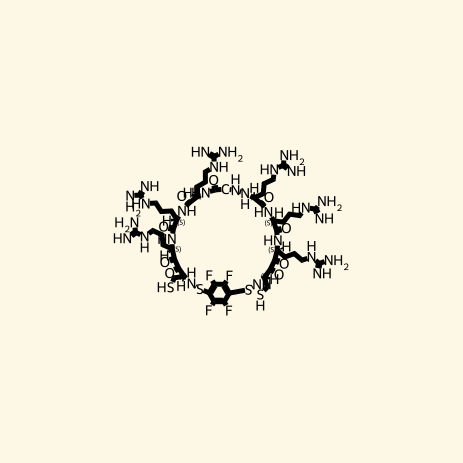 N=C(N)NCCC[C@@H]1NNCC(=O)N[C@@H](CCCNC(=N)N)C(=O)N[C@@H](CCCNC(=N)N)C(=O)N[C@@H](CCCNC(=N)N)C(=O)C(=O)[C@H](CS)NSc2c(F)c(F)c(c(F)c2F)SN[C@@H](CS)C(=O)C(=O)[C@H](CCCNC(=N)N)NC(=O)[C@H](CCCNC(=N)N)NC1=O